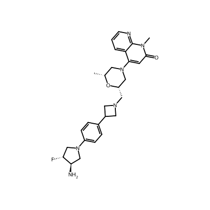 C[C@@H]1CN(c2cc(=O)n(C)c3ncccc23)C[C@H](CN2CC(c3ccc(N4C[C@@H](N)[C@H](F)C4)cc3)C2)O1